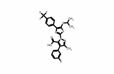 Cc1nn(-c2nc(-c3ccc(C(F)(F)F)cc3)c(SC(C)C)s2)c(C(=O)O)c1-c1cccc(F)c1